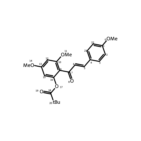 COc1ccc(C=CC(=O)c2c(OC)cc(OC)cc2OC(=O)C(C)(C)C)cc1